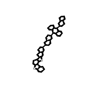 c1ccc2cc(-c3c4ccccc4c(-c4ccc5cc(-c6ccc7cc8c(cc7c6)sc6c8ccc7oc8ccccc8c76)ccc5c4)c4ccccc34)ccc2c1